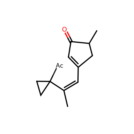 CC(=O)C1(/C(C)=C\C2=CC(=O)C(C)C2)CC1